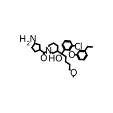 CCc1cccc(Oc2c(Cl)cccc2C(O)(CCCCOC)C2CCCN(C(=O)C3CCC(N)C3)C2)c1